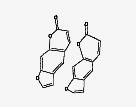 O=c1ccc2cc3ccoc3cc2o1.O=c1ccc2cc3ccoc3cc2o1